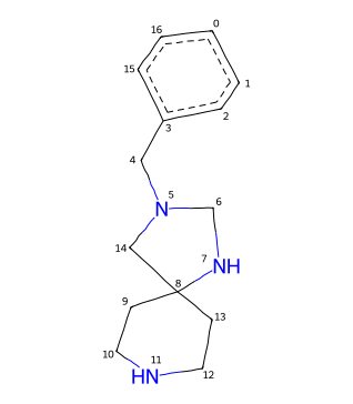 c1ccc(CN2CNC3(CCNCC3)C2)cc1